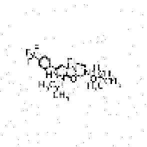 CC(C)CN1NC(c2ccc(C(F)(F)F)cc2)=CC(C)(N2CCN(C(=O)OC(C)(C)C)CC2)C1=O